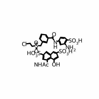 CC(=O)Nc1cc(S(=O)(=O)O)cc2cc(S(=O)(=O)O)cc(O)c12.Nc1cc(NC(=O)c2cccc(CS(=O)(=O)CCCl)c2)ccc1S(=O)(=O)O